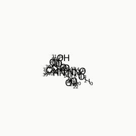 CCCCOC(=O)N1CCN(C(=O)C(CCC(=O)OC(C)(C)C)NC(=O)c2cc(OC(C)C(=O)O)c3ccc(C)cc3n2)CC1